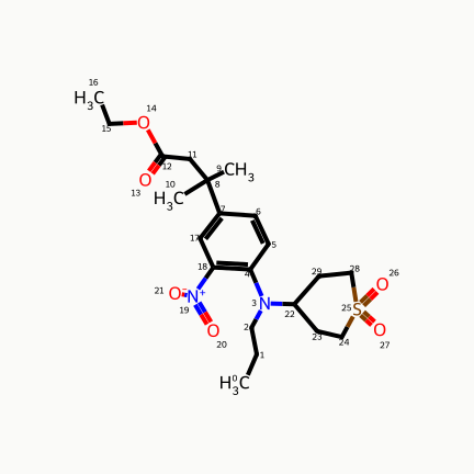 CCCN(c1ccc(C(C)(C)CC(=O)OCC)cc1[N+](=O)[O-])C1CCS(=O)(=O)CC1